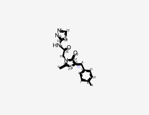 C=c1s/c(=C\c2ccc(C)cc2)c(=O)n1CC(=O)Nc1nncs1